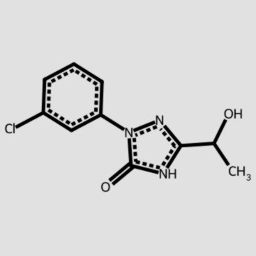 CC(O)c1nn(-c2cccc(Cl)c2)c(=O)[nH]1